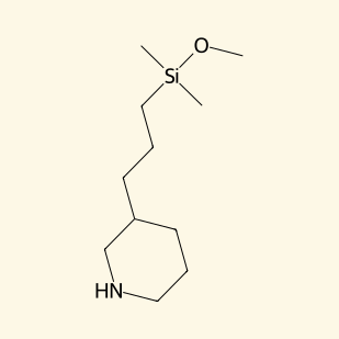 CO[Si](C)(C)CCCC1CCCNC1